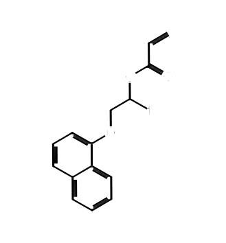 C=CC(=O)OC(I)COc1cccc2ccccc12